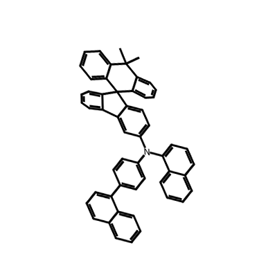 CC1(C)c2ccccc2C2(c3ccccc3-c3cc(N(c4ccc(-c5cccc6ccccc56)cc4)c4cccc5ccccc45)ccc32)c2ccccc21